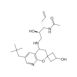 C=CC[C@H](NC(C)=O)[C@H](O)CNC1CC2(CC(O)C2)Oc2ncc(CC(C)(C)C)cc21